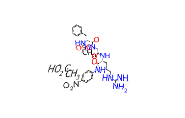 CC(=O)O.CS(=O)(=O)N[C@H](Cc1ccccc1)C(=O)NCC(=O)N[C@@H](CCCNC(=N)N)C(=O)Nc1ccc([N+](=O)[O-])cc1